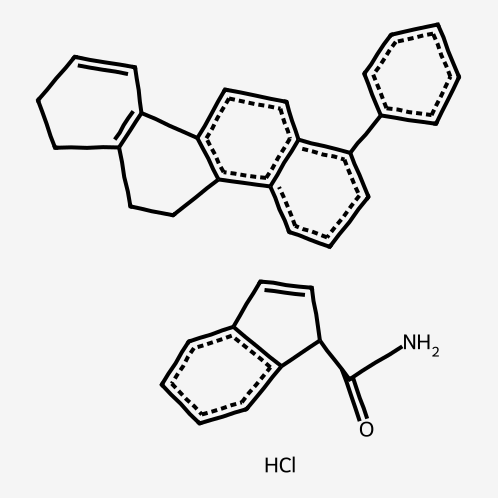 C1=CC2=C(CC1)CCc1c2ccc2c(-c3ccccc3)cccc12.Cl.NC(=O)C1C=Cc2ccccc21